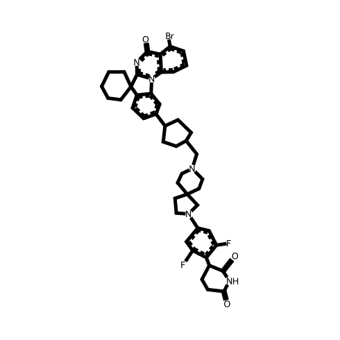 O=C1CCC(c2c(F)cc(N3CCC4(CCN(CC5CCC(c6ccc7c(c6)-n6c(nc(=O)c8c(Br)cccc86)C76CCCCC6)CC5)CC4)C3)cc2F)C(=O)N1